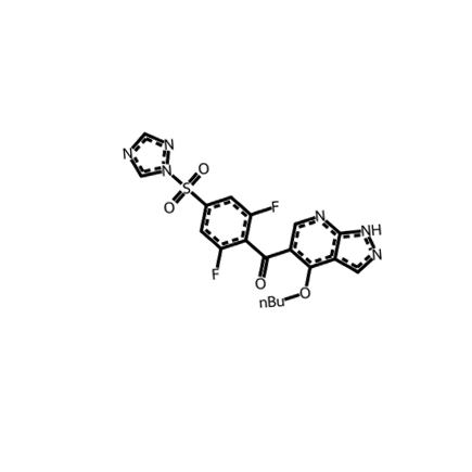 CCCCOc1c(C(=O)c2c(F)cc(S(=O)(=O)n3cncn3)cc2F)cnc2[nH]ncc12